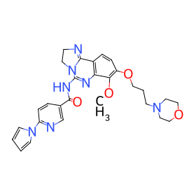 COc1c(OCCCN2CCOCC2)ccc2c1N=C(NC(=O)c1ccc(-n3cccc3)nc1)N1CCN=C21